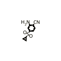 N#Cc1ccc(S(=O)(=O)C2CC2)cc1N